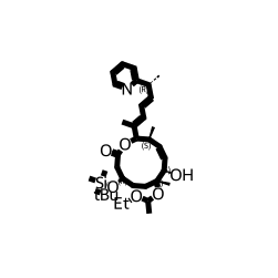 CCOC(C)O[C@]1(C)CC[C@@H](O[Si](C)(C)C(C)(C)C)CC(=O)OC(C(C)=CC=C[C@@H](C)c2ccccn2)[C@@H](C)C=C[C@@H]1O